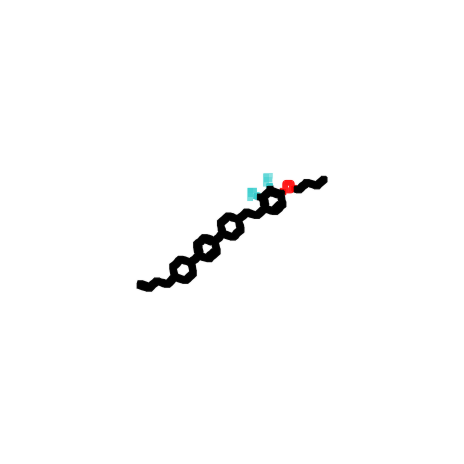 C=CCCC1CCC(c2ccc(C3CCC(CCc4ccc(OCCCC)c(F)c4F)CC3)cc2)CC1